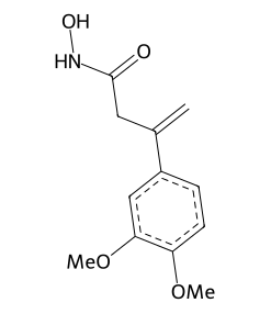 C=C(CC(=O)NO)c1ccc(OC)c(OC)c1